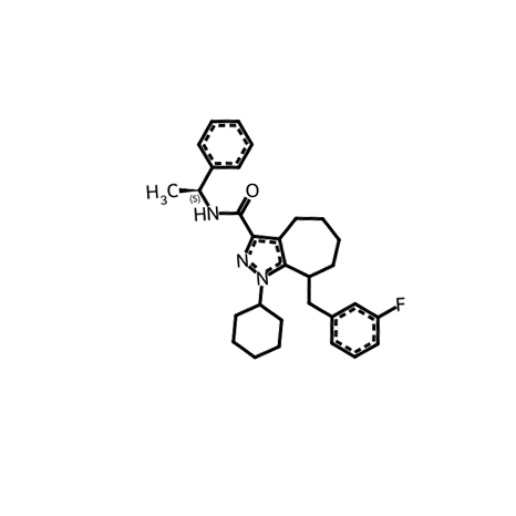 C[C@H](NC(=O)c1nn(C2CCCCC2)c2c1CCCCC2Cc1cccc(F)c1)c1ccccc1